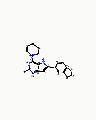 Cc1nc(N2CCCCC2)c2[nH]c(-c3ccc4c(c3)CCC4)cc2n1